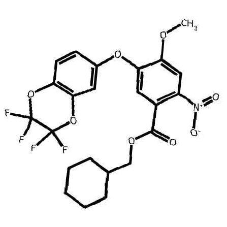 COc1cc([N+](=O)[O-])c(C(=O)OCC2CCCCC2)cc1Oc1ccc2c(c1)OC(F)(F)C(F)(F)O2